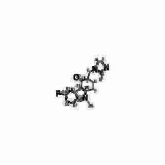 Cc1nccn1CC1CCc2c(c3cc(F)ccc3n2C)C1=O